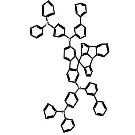 c1ccc(-c2cccc(N(c3ccc(N(c4ccccc4)c4ccccc4)cc3)c3ccc4c(c3)C3(c5cc(N(c6ccc(N(c7ccccc7)c7ccccc7)cc6)c6cccc(-c7ccccc7)c6)ccc5-4)c4ccccc4C4c5ccccc5-c5cccc3c54)c2)cc1